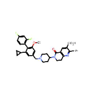 CCCc1nc2c(cc1C(=O)O)C(=O)N(C1CCN(Cc3cc(OCC)c(-c4ccc(F)cc4F)c(C4CC4)c3)CC1)CC2